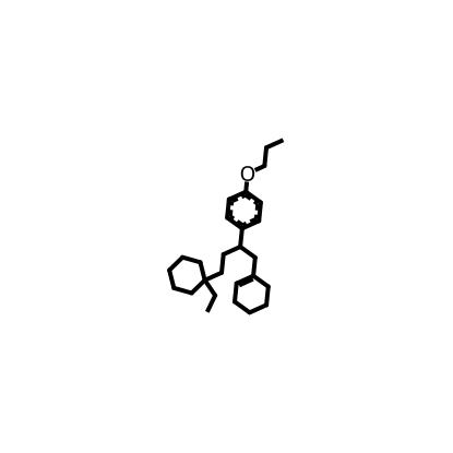 CCCOc1ccc(C(CCC2(CC)CCCCC2)CC2=CCCCC2)cc1